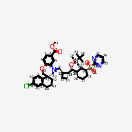 COC(=O)c1ccc2c(c1)N(C[C@@H]1CC[C@H]1[C@H](O[Si](C)(C)C(C)(C)C)[C@@H]1CCC[C@H](S(=O)(=O)c3ncccn3)C1)C[C@@]1(CCCc3cc(Cl)ccc31)CO2